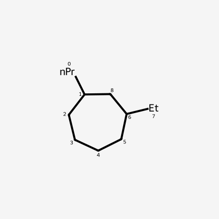 CCCC1CCCCC(CC)C1